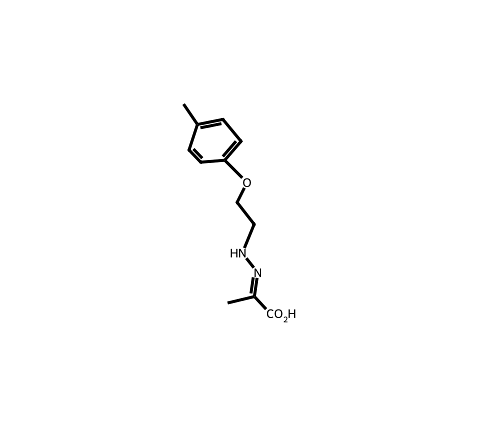 CC(=NNCCOc1ccc(C)cc1)C(=O)O